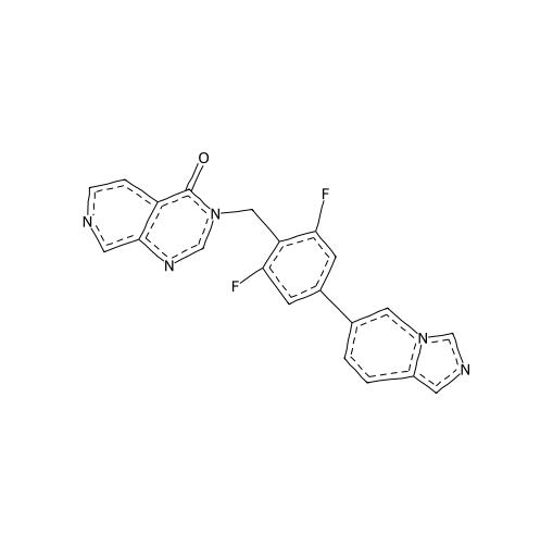 O=c1c2ccncc2ncn1Cc1c(F)cc(-c2ccc3cncn3c2)cc1F